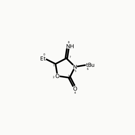 CCC1OC(=O)N(C(C)(C)C)C1=N